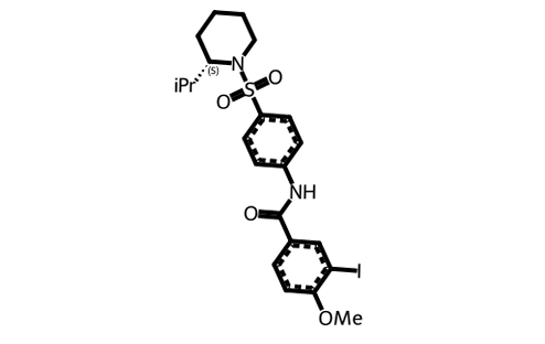 COc1ccc(C(=O)Nc2ccc(S(=O)(=O)N3CCCC[C@H]3C(C)C)cc2)cc1I